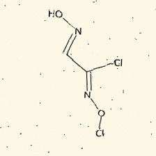 ON=CC(Cl)=NOCl